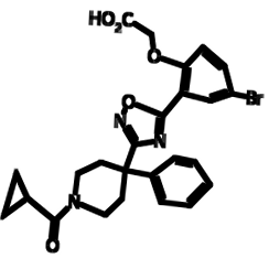 O=C(O)COc1ccc(Br)cc1-c1nc(C2(c3ccccc3)CCN(C(=O)C3CC3)CC2)no1